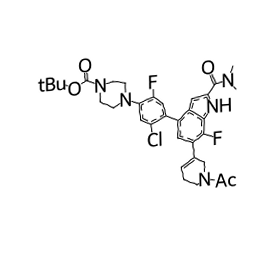 CC(=O)N1CCC=C(c2cc(-c3cc(F)c(N4CCN(C(=O)OC(C)(C)C)CC4)cc3Cl)c3cc(C(=O)N(C)C)[nH]c3c2F)C1